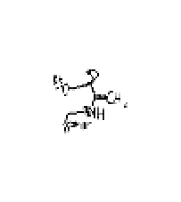 C=C(NCC(C)C)C(=O)OCC